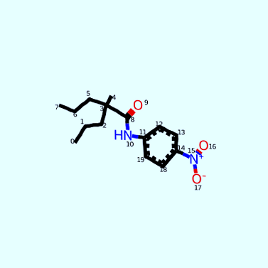 CCCC(C)(CCC)C(=O)Nc1ccc([N+](=O)[O-])cc1